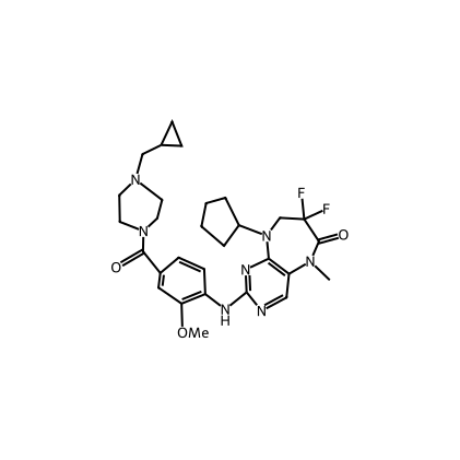 COc1cc(C(=O)N2CCN(CC3CC3)CC2)ccc1Nc1ncc2c(n1)N(C1CCCC1)CC(F)(F)C(=O)N2C